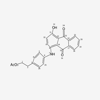 CC(=O)OCCc1ccc(Nc2ccc(O)c3c2C(=O)c2ccccc2C3=O)cc1